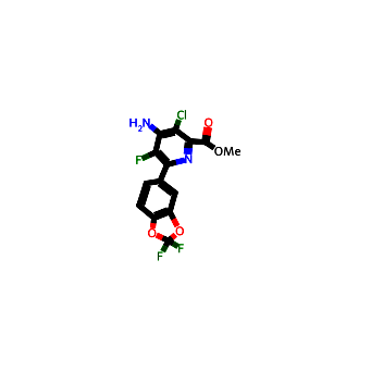 COC(=O)c1nc(-c2ccc3c(c2)OC(F)(F)O3)c(F)c(N)c1Cl